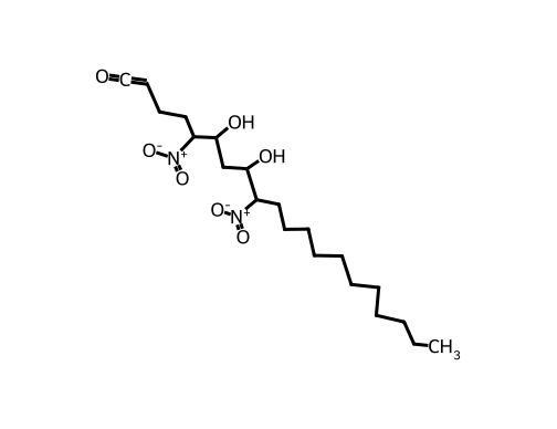 CCCCCCCCCCCC(C(O)CC(O)C(CCC=C=O)[N+](=O)[O-])[N+](=O)[O-]